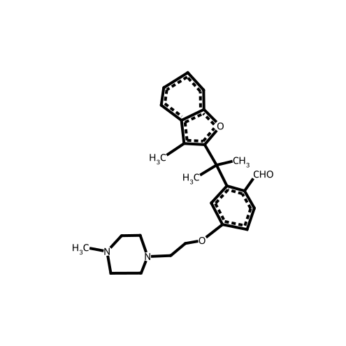 Cc1c(C(C)(C)c2cc(OCCN3CCN(C)CC3)ccc2C=O)oc2ccccc12